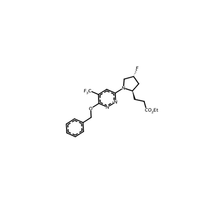 CCOC(=O)CC[C@@H]1C[C@@H](F)CN1c1cc(C(F)(F)F)c(OCc2ccccc2)nn1